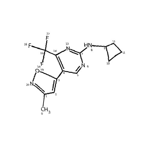 Cc1cc(-c2cnc(NC3CCC3)nc2C(F)(F)F)on1